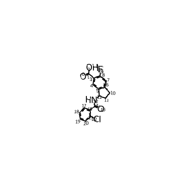 O=C(O)c1cc2c(cc1F)CCC2NC(=O)c1ccccc1Cl